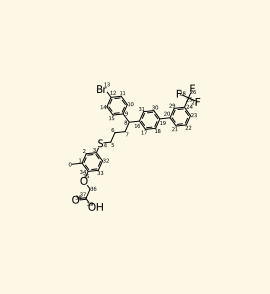 Cc1cc(SCCCC(c2ccc(Br)cc2)c2ccc(-c3cccc(C(F)(F)F)c3)cc2)ccc1OCC(=O)O